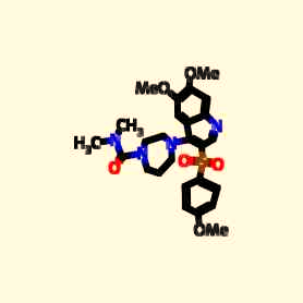 COc1ccc(S(=O)(=O)c2cnc3cc(OC)c(OC)cc3c2N2CCCN(C(=O)N(C)C)CC2)cc1